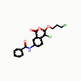 O=C(Nc1ccc2c(Cl)c(OCCCBr)oc(=O)c2c1)c1ccccc1